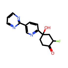 O=C1CCC(O)(c2ccc(-c3ncccn3)cn2)CC1F